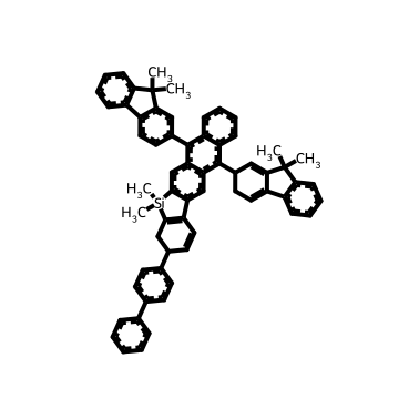 CC1(C)C2=CC(c3c4ccccc4c(-c4ccc5c(c4)C(C)(C)c4ccccc4-5)c4cc5c(cc34)C3=C(CC(c4ccc(-c6ccccc6)cc4)C=C3)[Si]5(C)C)CC=C2c2ccccc21